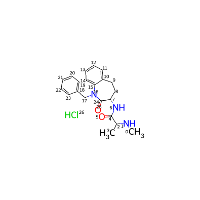 CNC(C)C(=O)N[C@H]1CCc2ccccc2N(Cc2ccccc2)C1=O.Cl